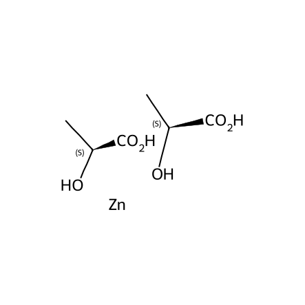 C[C@H](O)C(=O)O.C[C@H](O)C(=O)O.[Zn]